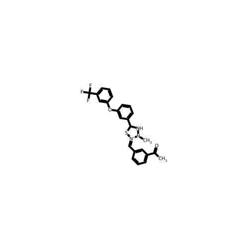 CC(=O)c1cccc(C=[N+]2SC(c3cccc(Oc4cccc(C(F)(F)F)c4)c3)NN2C)c1